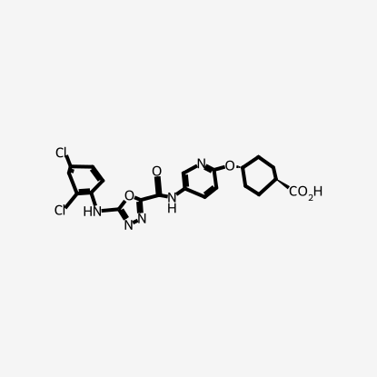 O=C(Nc1ccc(O[C@H]2CC[C@H](C(=O)O)CC2)nc1)c1nnc(Nc2ccc(Cl)cc2Cl)o1